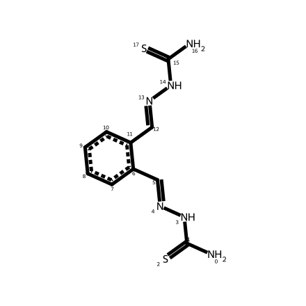 NC(=S)NN=Cc1ccccc1C=NNC(N)=S